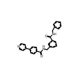 O=C(NCc1cccc(C(=O)NCc2ccccc2)c1)c1ccc(-c2ccncc2)cc1